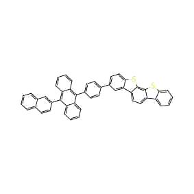 c1ccc2cc(-c3c4ccccc4c(-c4ccc(-c5ccc6sc7c(ccc8c9ccccc9sc87)c6c5)cc4)c4ccccc34)ccc2c1